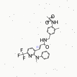 Cc1cc(CNC(=O)/C=C/c2ccc(C(F)(F)F)nc2N(C)c2ccccc2)ccc1NS(C)(=O)=O